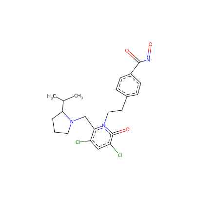 CC(C)C1CCCN1Cc1c(Cl)cc(Cl)c(=O)n1CCc1ccc(C(=O)N=O)cc1